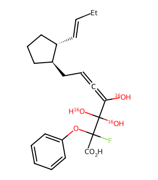 CC/C=C/[C@H]1CCC[C@@H]1CC=C=C([16OH])C([16OH])([16OH])C(F)(Oc1ccccc1)C(=O)O